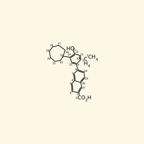 C.C.O=C(O)c1ccc2cc(-c3ccc(O)c([C]4CCCCCCC4)c3)ccc2c1